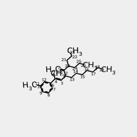 C=C(C(/C=C(\C)c1cccc(C)c1)CCCCCCC)C(CCC)CCC